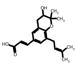 CC(C)=CCc1cc(C=CC(=O)O)cc2c1OC(C)(C)C(O)C2